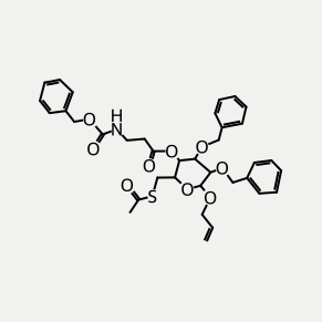 C=CCOC1OC(CSC(C)=O)C(OC(=O)CCNC(=O)OCc2ccccc2)C(OCc2ccccc2)C1OCc1ccccc1